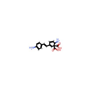 Nc1ccc(C=CC2=CC(C(=O)O)(C(=O)O)C(N)C=C2)cc1